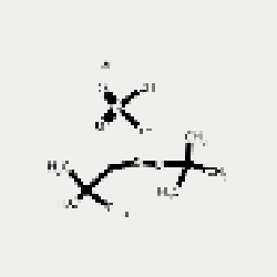 CC(C)(C)CCCC(C)(C)C.O=S(=O)(O)S.[Zr]